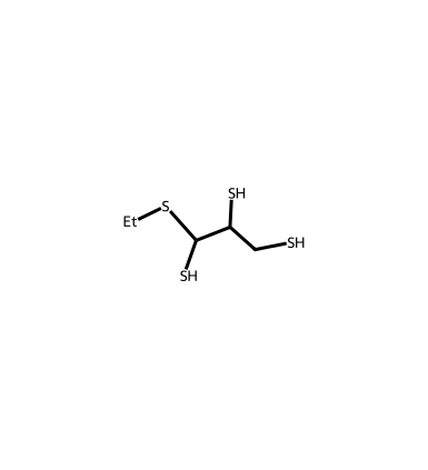 CCSC(S)C(S)CS